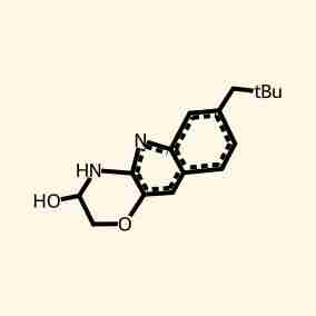 CC(C)(C)Cc1ccc2cc3c(nc2c1)NC(O)CO3